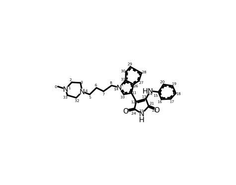 CN1CCN(CCCCn2cc(C3=C(Nc4ccccc4)C(=O)NC3=O)c3ccccc32)CC1